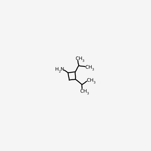 CC(C)C1CC(N)C1C(C)C